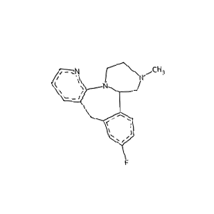 CN1CCN2c3ncccc3Cc3cc(F)ccc3C2C1